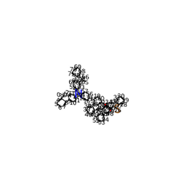 CC1(C)c2ccccc2-c2ccc(N(c3ccc(-c4ccc(-c5ccc6sc7ccccc7c6c5)c5c4-c4ccccc4C5(c4ccccc4)c4ccccc4)cc3)c3ccc4c(c3)C(C)(C)c3ccccc3-4)cc21